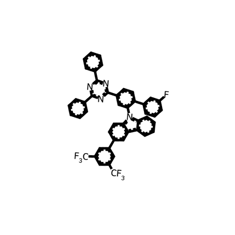 Fc1cccc(-c2ccc(-c3nc(-c4ccccc4)nc(-c4ccccc4)n3)cc2-n2c3ccccc3c3cc(-c4cc(C(F)(F)F)cc(C(F)(F)F)c4)ccc32)c1